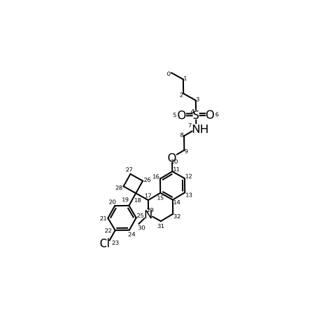 CCCCS(=O)(=O)NCCOc1ccc2c(c1)C(C1(c3ccc(Cl)cc3)CCC1)N(C)CC2